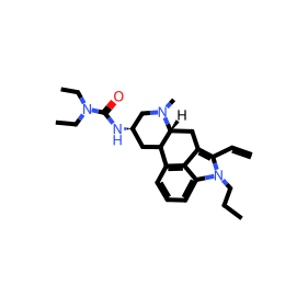 C=Cc1c2c3c(cccc3n1CCC)C1C[C@H](NC(=O)N(CC)CC)CN(C)[C@@H]1C2